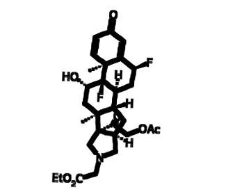 CCOC(=O)CN1C[C@@H]2C[C@H]3[C@@H]4C[C@H](F)C5=CC(=O)C=C[C@]5(C)[C@@]4(F)[C@@H](O)C[C@]3(C)[C@]2(C(=O)COC(C)=O)C1